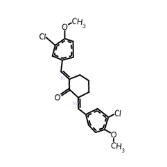 COc1ccc(/C=C2\CCC/C(=C\c3ccc(OC)c(Cl)c3)C2=O)cc1Cl